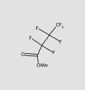 COC(=O)C(F)(F)C(F)(F)C(F)(F)F